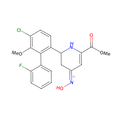 COC(=O)C1=C/C(=N/O)CC(c2ccc(Cl)c(OC)c2-c2ccccc2F)N1